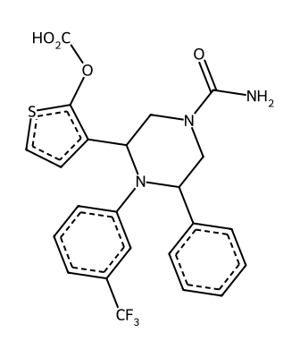 NC(=O)N1CC(c2ccccc2)N(c2cccc(C(F)(F)F)c2)C(c2ccsc2OC(=O)O)C1